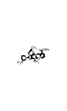 CC#CCn1c(N2CCC[C@@H](N)C2)nc2c1c(=O)n(Cc1ncccc1C(=O)OC)c(=O)n2C